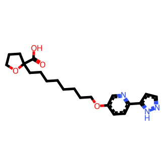 O=C(O)C1(CCCCCCCCOc2ccc(-c3ccn[nH]3)nc2)CCCO1